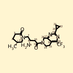 C[C@@H]1CCC(=O)N(C[C@@H](N)CC(=O)N2CCc3c(nc(C4CC4)nc3C(F)(F)F)C2)C1